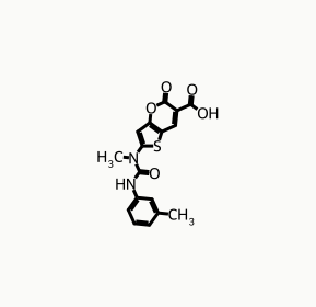 Cc1cccc(NC(=O)N(C)c2cc3oc(=O)c(C(=O)O)cc3s2)c1